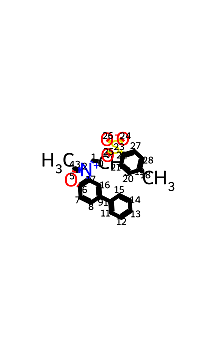 CC[n+]1c(C)oc2ccc(-c3ccccc3)cc21.Cc1ccc(S(=O)(=O)[O-])cc1